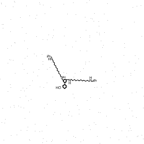 CC(C)CNCCCCCCCCCCCCNCc1cc(CNCCCCCCCCCCCCNCC(C)C)cc(-c2ccccc2)c1.Cl